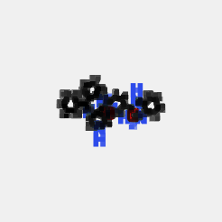 C[N+]1(c2ccc(C(=O)Nc3ccccc3N)cn2)C(=O)C2(CCNCC2)N=C(c2ccccc2)c2ccccc21